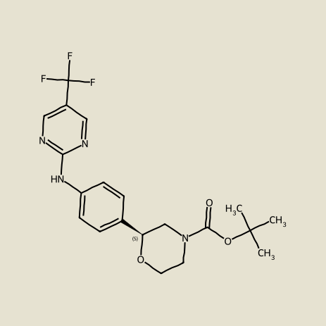 CC(C)(C)OC(=O)N1CCO[C@@H](c2ccc(Nc3ncc(C(F)(F)F)cn3)cc2)C1